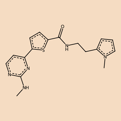 CNc1nccc(-c2ccc(C(=O)NCCc3cccn3C)s2)n1